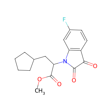 COC(=O)C(CC1CCCC1)N1C(=O)C(=O)c2ccc(F)cc21